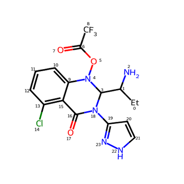 CCC(N)C1N(OC(=O)C(F)(F)F)c2cccc(Cl)c2C(=O)N1c1cc[nH]n1